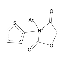 CC(=O)[N+]1(c2cccs2)C(=O)COC1=O